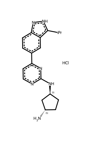 CC(C)c1[nH]nc2ccc(-c3ccnc(N[C@H]4CC[C@H](N)C4)n3)cc12.Cl